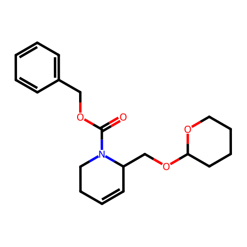 O=C(OCc1ccccc1)N1CCC=CC1COC1CCCCO1